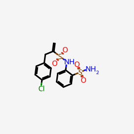 C=C(Cc1ccc(Cl)cc1)S(=O)(=O)Nc1ccccc1S(N)(=O)=O